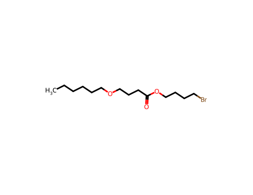 CCCCCCOCCCC(=O)OCCCCBr